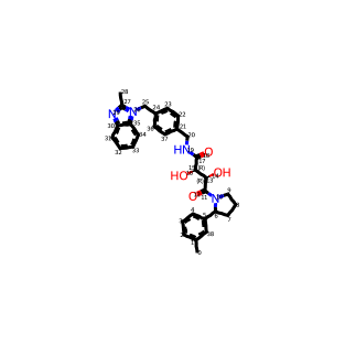 Cc1cccc(C2CCCN2C(=O)[C@H](O)[C@@H](O)C(=O)NCc2ccc(Cn3c(C)nc4ccccc43)cc2)c1